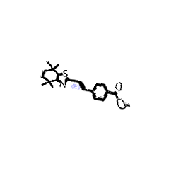 COC(=O)c1ccc(/C=C/c2nc3c(s2)C(C)(C)CCC3(C)C)cc1